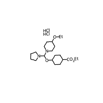 CCOC(=O)C1CCC(OC(N2CCCC2)N2CCC(OCC)CC2)CC1.Cl.Cl